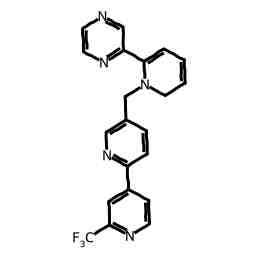 FC(F)(F)c1cc(-c2ccc(CN3CC=CC=C3c3cnccn3)cn2)ccn1